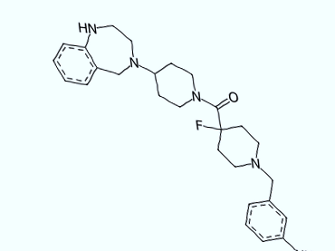 Nc1cccc(CN2CCC(F)(C(=O)N3CCC(N4CCNc5ccccc5C4)CC3)CC2)c1